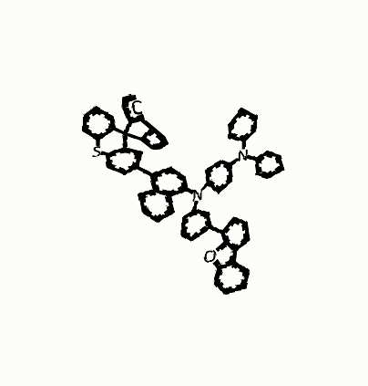 c1ccc(N(c2ccccc2)c2ccc(N(c3cccc(-c4cccc5c4oc4ccccc45)c3)c3ccc(-c4ccc5c(c4)C4(c6ccccc6S5)c5ccccc5-c5ccccc54)c4ccccc34)cc2)cc1